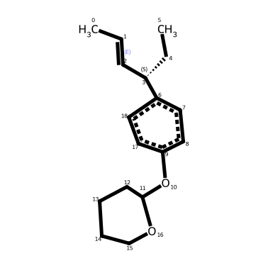 C/C=C/[C@H](CC)c1ccc(OC2CCCCO2)cc1